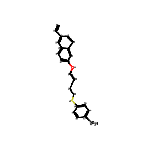 C=Cc1ccc2cc(OCCCCSc3ccc(S(=O)(=O)O)cc3)ccc2c1